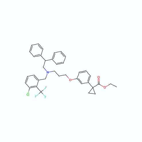 CCOC(=O)C1(c2cccc(OCCCN(Cc3cccc(Cl)c3C(F)(F)F)CC(c3ccccc3)c3ccccc3)c2)CC1